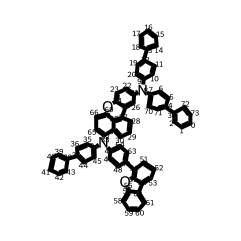 c1ccc(-c2ccc(N(c3ccc(-c4ccccc4)cc3)c3ccc4c(c3)-c3cccc5c(N(c6ccc(-c7ccccc7)cc6)c6ccc(-c7cccc8c7oc7ccccc78)cc6)ccc(c35)O4)cc2)cc1